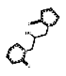 O=c1ccccn1CC(O)Cn1ccccc1=O